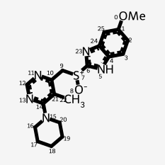 COc1ccc2[nH]c([S+]([O-])Cc3ncnc(N4CCCCC4)c3C)nc2c1